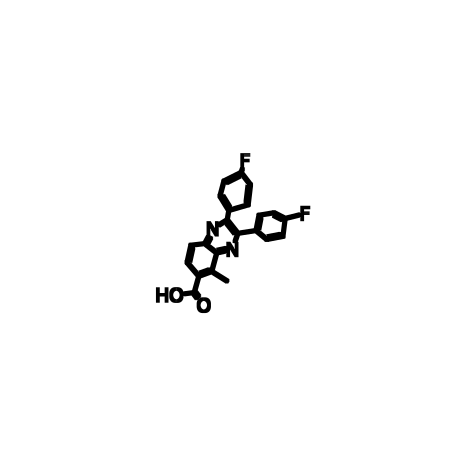 Cc1c(C(=O)O)ccc2nc(-c3ccc(F)cc3)c(-c3ccc(F)cc3)nc12